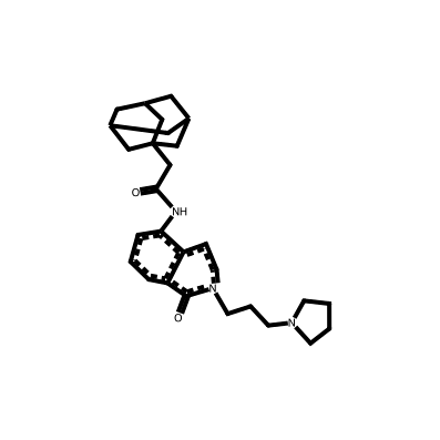 O=C(CC12CC3CC(CC(C3)C1)C2)Nc1cccc2c(=O)n(CCCN3CCCC3)ccc12